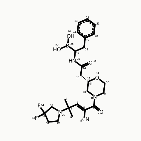 CC(C)(C=C(C#N)C(=O)N1CCO[C@@H](CC(=O)NC(Cc2ccccc2)B(O)O)C1)N1CCC(F)(F)C1